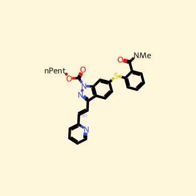 CCCCCOC(=O)n1nc(/C=C/c2ccccn2)c2ccc(Sc3ccccc3C(=O)NC)cc21